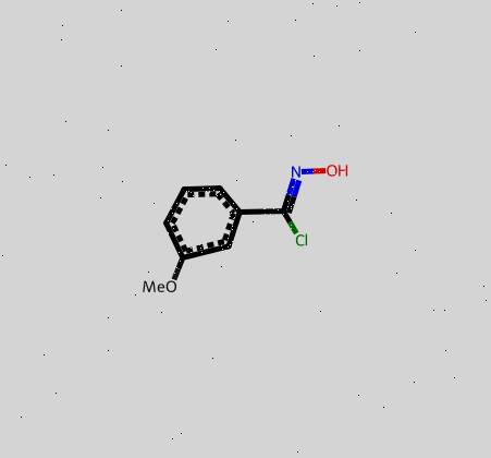 COc1cccc(/C(Cl)=N/O)c1